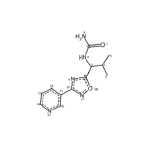 CC(C)C(NC(N)=O)c1nc(-c2cccnc2)no1